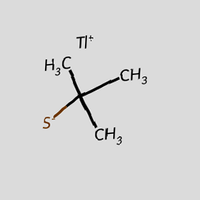 CC(C)(C)[S-].[Tl+]